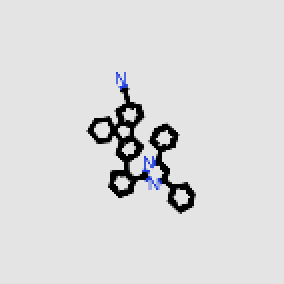 N#Cc1ccc2c(c1)C1(CCCCC1)c1cc(-c3ccccc3-c3nc(-c4ccccc4)cc(-c4ccccc4)n3)ccc1-2